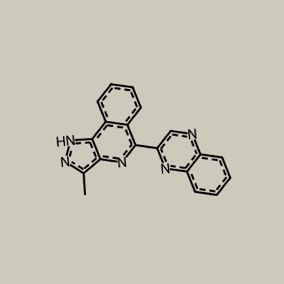 Cc1n[nH]c2c1nc(-c1cnc3ccccc3n1)c1ccccc12